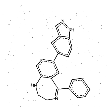 c1ccc(C2=NCCNc3ccc(-c4ccc5[nH]ncc5c4)cc32)cc1